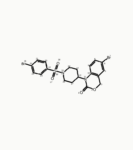 O=C1OCc2cc(Br)ccc2N1C1CCN(S(=O)(=O)c2ccc(Br)cc2)CC1